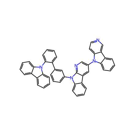 c1cc(-c2ccccc2-n2c3ccccc3c3ccccc32)cc(-n2c3ccccc3c3cc(-n4c5ccccc5c5cnccc54)cnc32)c1